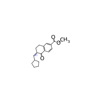 COC(=O)c1ccc2c(c1)CC/C(=C/C1CCCC1)C2=O